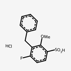 COc1c(S(=O)(=O)O)ccc(F)c1Cc1ccccc1.Cl